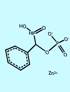 O=[PH](O)C(OP(=O)([O-])[O-])c1ccccc1.[Zn+2]